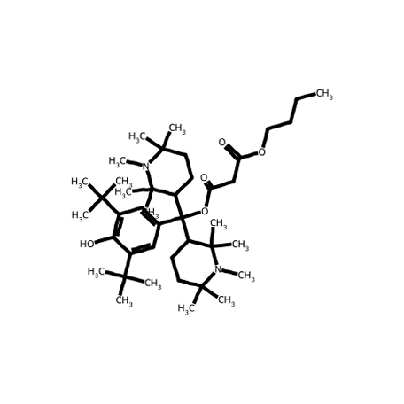 CCCCOC(=O)CC(=O)OC(c1cc(C(C)(C)C)c(O)c(C(C)(C)C)c1)(C1CCC(C)(C)N(C)C1(C)C)C1CCC(C)(C)N(C)C1(C)C